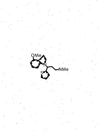 CNCCC(c1cccs1)n1ccc2c(OC)cccc21